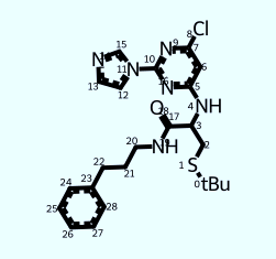 CC(C)(C)SCC(Nc1cc(Cl)nc(-n2ccnc2)n1)C(=O)NCCCc1ccccc1